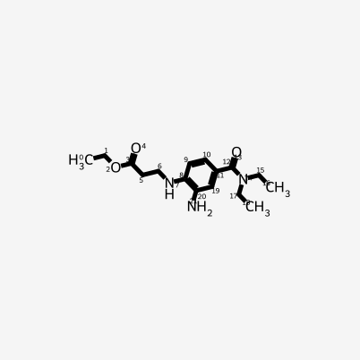 CCOC(=O)CCNc1ccc(C(=O)N(CC)CC)cc1N